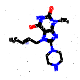 C/C=C/Cn1c(N2CCNCC2)nc2c1c(=O)[nH]c(=O)n2C